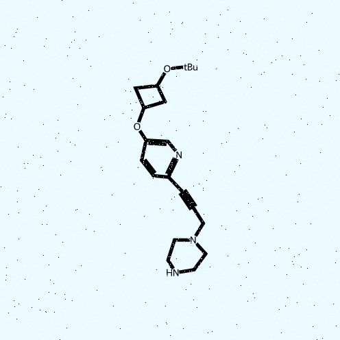 CC(C)(C)OC1CC(Oc2ccc(C#CCN3CCNCC3)nc2)C1